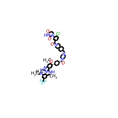 CCNc1cc([C@@H](C)Nc2nc(C)nc3cc(OC)c([C@H]4CC[C@H](C(=O)N5CCN(CC6CCC7(CC6)CCN(C(=O)c6ccc(Cl)c(N8CCC(=O)NC8=O)c6)CC7)CC5)CC4)cc23)cc(C(F)(F)F)c1